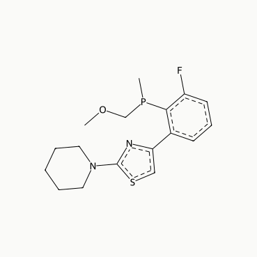 COCP(C)c1c(F)cccc1-c1csc(N2CCCCC2)n1